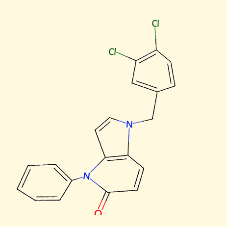 O=c1ccc2c(ccn2Cc2ccc(Cl)c(Cl)c2)n1-c1ccccc1